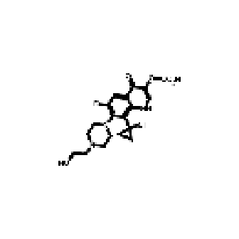 O=C(O)Oc1c[nH]c2c(C3(Cl)CC3)c(N3CCN(CCO)CC3)c(F)cc2c1=O